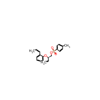 C=C[C@H](COS(=O)(=O)c1ccc(C)cc1)Oc1ccccc1/C=C\C